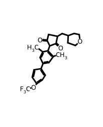 Cc1cc(-c2ccc(OC(F)(F)F)cc2)cc(C)c1C1C(=O)CC(CC2CCOCC2)C1=O